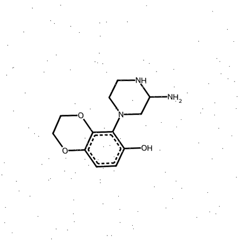 NC1CN(c2c(O)ccc3c2OCCO3)CCN1